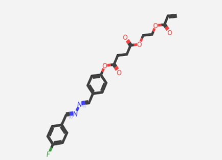 C=CC(=O)OCCOC(=O)CCC(=O)Oc1ccc(/C=N/N=C/c2ccc(F)cc2)cc1